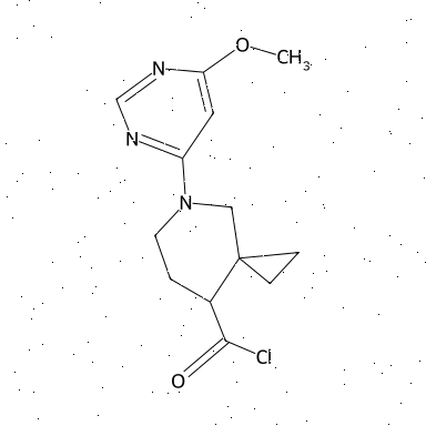 COc1cc(N2CCC(C(=O)Cl)C3(CC3)C2)ncn1